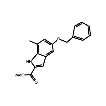 COC(=O)c1cc2cc(OCc3ccccc3)cc(I)c2[nH]1